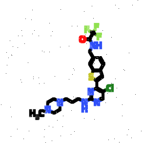 CN1CCN(CCCNc2ncc(Cl)c(-c3cc4ccc(CNC(=O)C(F)(F)F)cc4s3)n2)CC1